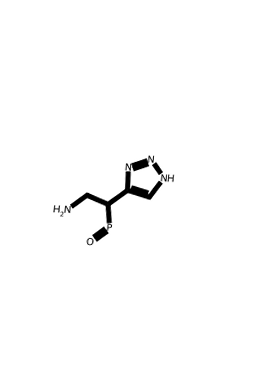 NCC(P=O)c1c[nH]nn1